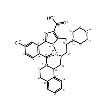 Cc1c(C(=O)O)cc(-c2cc(Cl)ccc2C(=O)N2CCc3ccccc3C2COCCN2CCOCC2)n1C